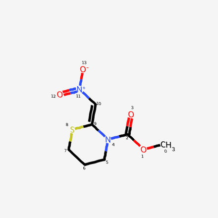 COC(=O)N1CCCS/C1=C\[N+](=O)[O-]